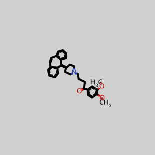 COc1ccc(C(=O)CCCN2CCC(=C3c4ccccc4C=Cc4ccccc43)CC2)cc1OC